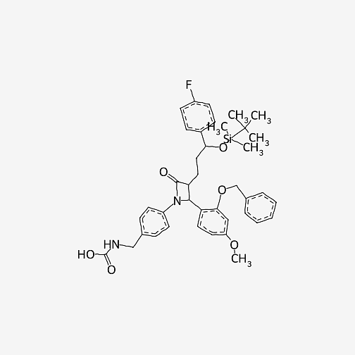 COc1ccc(C2C(CCC(O[Si](C)(C)C(C)(C)C)c3ccc(F)cc3)C(=O)N2c2ccc(CNC(=O)O)cc2)c(OCc2ccccc2)c1